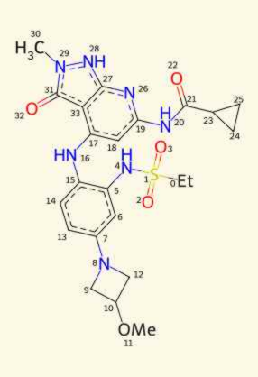 CCS(=O)(=O)Nc1cc(N2CC(OC)C2)ccc1Nc1cc(NC(=O)C2CC2)nc2[nH]n(C)c(=O)c12